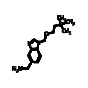 C[Si](C)(C)CCOCn1cnc2cc(CN)ccc21